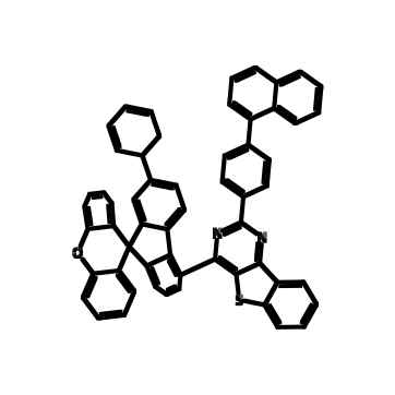 C1=CCC(c2ccc3c(c2)C2(c4ccccc4Oc4ccccc42)c2cccc(-c4nc(-c5ccc(-c6cccc7ccccc67)cc5)nc5c4sc4ccccc45)c2-3)C=C1